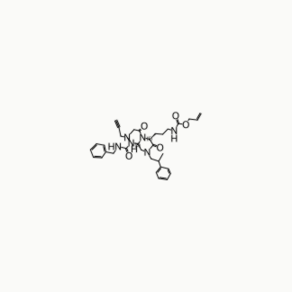 C#CCN1CC(=O)N2[C@@H](CCCNC(=O)OCC=C)C(=O)N(CC(C)c3ccccc3)C[C@@H]2N1C(=O)NCc1ccccc1